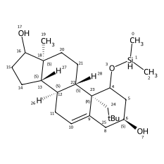 C[SiH](C)OC1C[C@@H](O)CC2=CC[C@H]3[C@@H]4CCC(O)[C@@]4(C)CC[C@@H]3[C@]21CC(C)(C)C